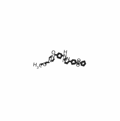 CCOCCN1CCN(C(=O)c2ccc(Nc3nccc(-c4ccc(S(=O)(=O)c5ccccc5)cc4)n3)cc2)CC1